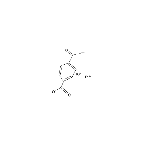 O=C([O-])c1ccc(C(=O)[O-])cc1.[Fe+3].[OH-]